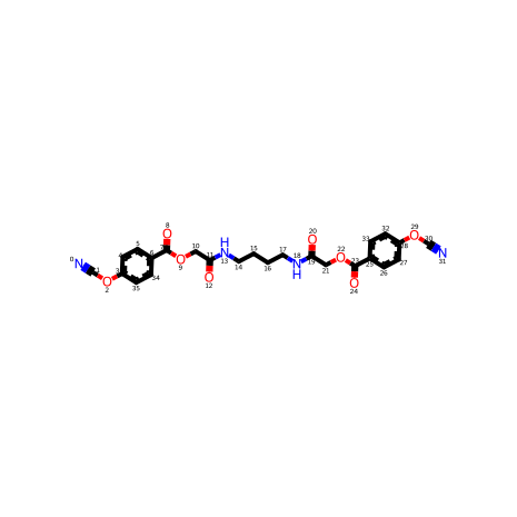 N#COc1ccc(C(=O)OCC(=O)NCCCCNC(=O)COC(=O)c2ccc(OC#N)cc2)cc1